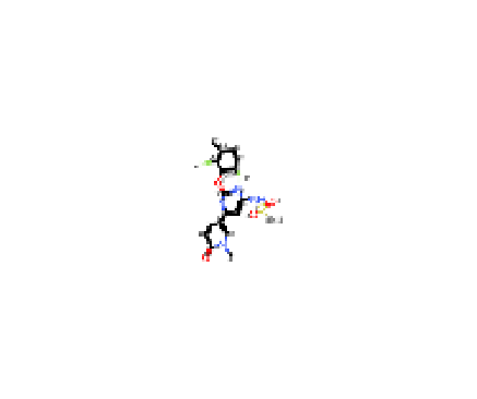 CC[C@H](C)S(=O)(=O)Nc1cc(-c2ccc(=O)n(C)c2)nc(Oc2c(F)ccc(C)c2F)n1